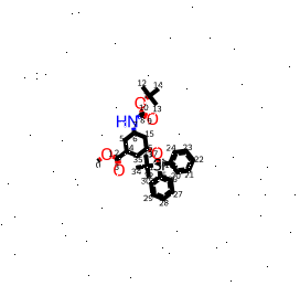 COC(=O)C1CC(NC(=O)OC(C)(C)C)CC(O[Si](c2ccccc2)(c2ccccc2)C(C)(C)C)C1